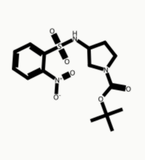 CC(C)(C)OC(=O)N1CCC(NS(=O)(=O)c2ccccc2[N+](=O)[O-])C1